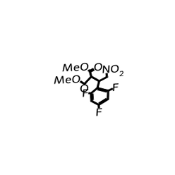 COC(=O)C(C(=O)OC)C(C[N+](=O)[O-])c1c(F)cc(F)cc1F